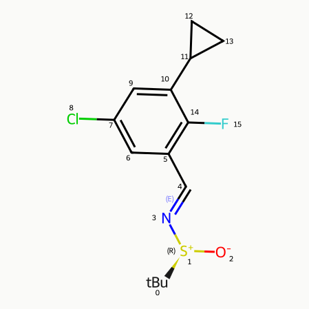 CC(C)(C)[S@+]([O-])/N=C/c1cc(Cl)cc(C2CC2)c1F